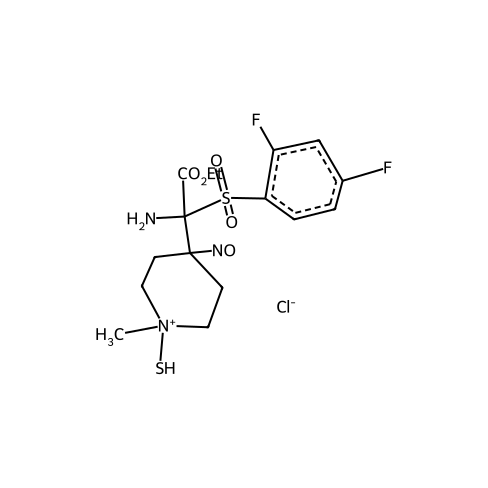 CCOC(=O)C(N)(C1(N=O)CC[N+](C)(S)CC1)S(=O)(=O)c1ccc(F)cc1F.[Cl-]